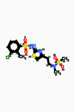 Cc1c(Cl)cccc1S(=O)(=O)Nc1nc(CCN(C)S(C)(=O)=O)cs1